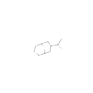 CC(C)C1CC2CCCC(C1)S2